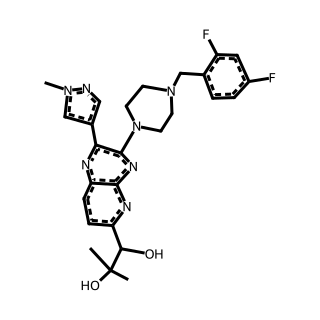 Cn1cc(-c2nc3ccc(C(O)C(C)(C)O)nc3nc2N2CCN(Cc3ccc(F)cc3F)CC2)cn1